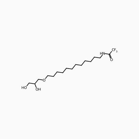 O=C(NCCCCCCCCCCCCOCC(O)CO)C(F)(F)F